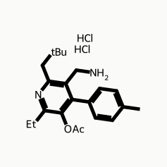 CCc1nc(CC(C)(C)C)c(CN)c(-c2ccc(C)cc2)c1OC(C)=O.Cl.Cl